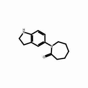 O=C1CCCCCN1c1ccc2c(c1)CCN2